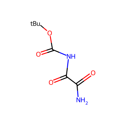 CC(C)(C)OC(=O)NC(=O)C(N)=O